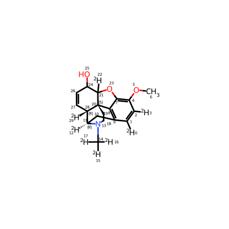 [2H]c1c([2H])c(OC)c2c3c1C[C@@]1([2H])N(C([2H])([2H])[2H])CC[C@@]34C([2H])(O2)C(O)C=C[C@@]14[2H]